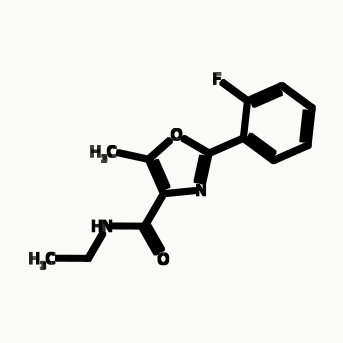 CCNC(=O)c1nc(-c2ccccc2F)oc1C